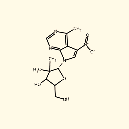 CC1(C)C(O)C(CO)O[C@H]1n1cc([N+](=O)[O-])c2c(N)ncnc21